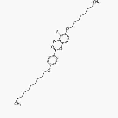 CCCCCCCCCCOc1ccc(C(=O)Oc2ccc(OCCCCCCCC)c(F)c2F)cc1